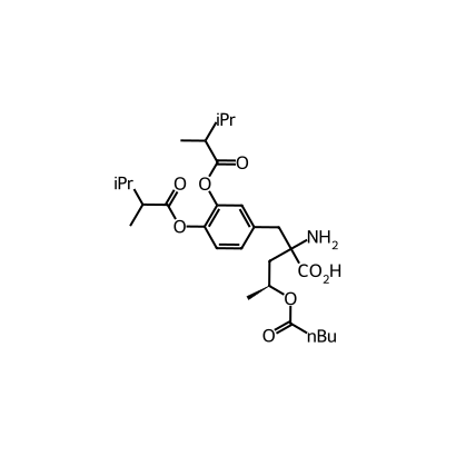 CCCCC(=O)O[C@@H](C)CC(N)(Cc1ccc(OC(=O)C(C)C(C)C)c(OC(=O)C(C)C(C)C)c1)C(=O)O